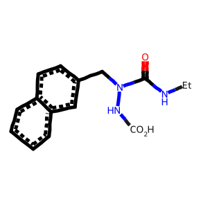 CCNC(=O)N(Cc1ccc2ccccc2c1)NC(=O)O